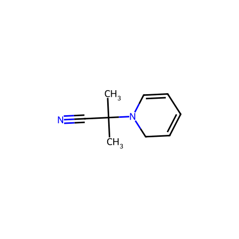 CC(C)(C#N)N1C=CC=CC1